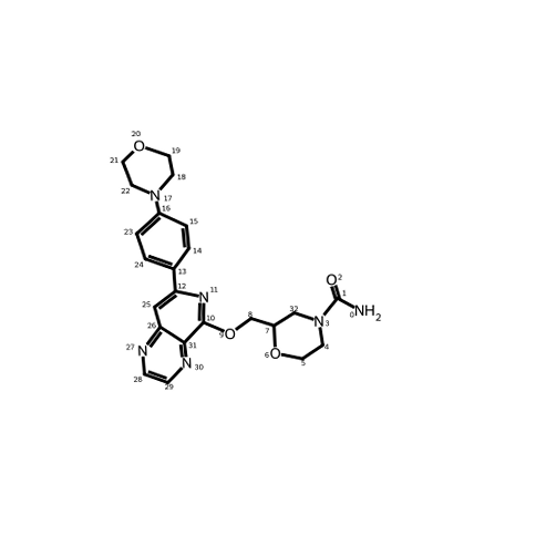 NC(=O)N1CCOC(COc2nc(-c3ccc(N4CCOCC4)cc3)cc3nccnc23)C1